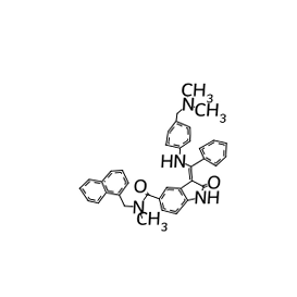 CN(C)Cc1ccc(NC(=C2C(=O)Nc3ccc(C(=O)N(C)Cc4cccc5ccccc45)cc32)c2ccccc2)cc1